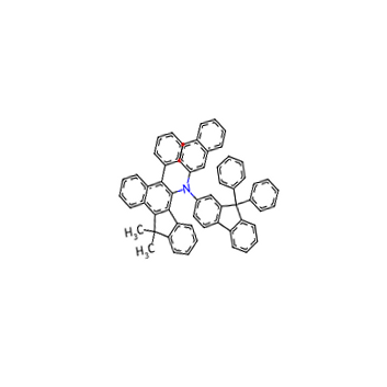 CC1(C)c2ccccc2-c2c(N(c3ccc4c(c3)C(c3ccccc3)(c3ccccc3)c3ccccc3-4)c3ccc4ccccc4c3)c(-c3ccccc3)c3ccccc3c21